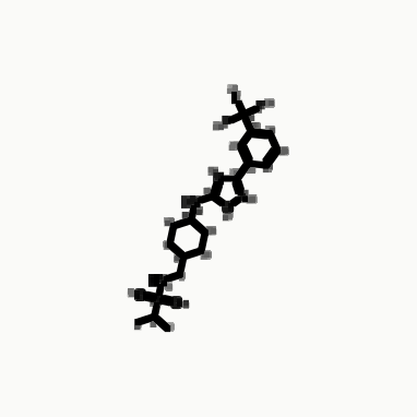 CC(C)S(=O)(=O)NCC1CCC(Nc2nc(-c3cccc(C(F)(F)F)c3)no2)CC1